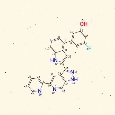 Oc1cc(F)cc(-c2cccc3[nH]c(-c4n[nH]c5cnc(-c6ccccn6)cc45)cc23)c1